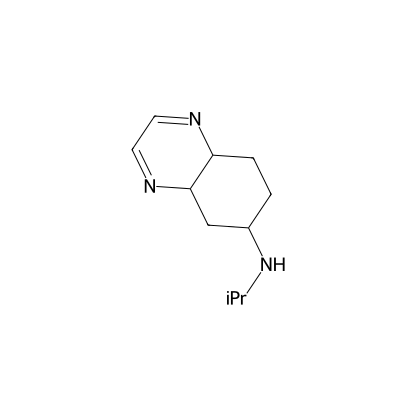 CC(C)NC1CCC2N=CC=NC2C1